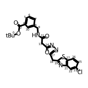 CC(C)(C)OC(=O)c1cccc(CNC(=O)Cc2nnc(Cc3nc4cc(Cl)ccc4s3)o2)c1